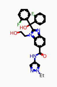 CCn1cc(NC(=O)c2ccc3nc(C(O)(c4ccccc4F)c4ccccc4F)n(CCO)c3c2)cn1